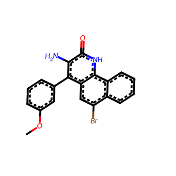 COc1cccc(-c2c(N)c(=O)[nH]c3c2cc(Br)c2ccccc23)c1